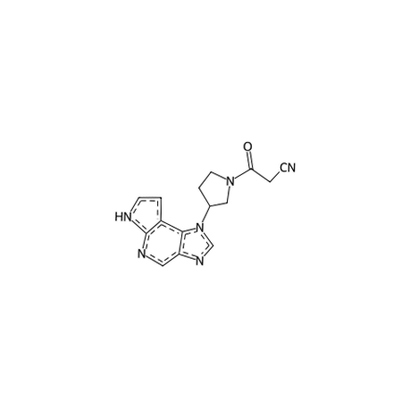 N#CCC(=O)N1CCC(n2cnc3cnc4[nH]ccc4c32)C1